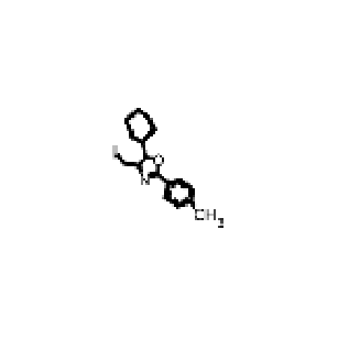 Cc1ccc(C2=NC(CI)C(C3CCCCC3)O2)cc1